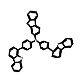 c1ccc2c(c1)Cc1cc(N(c3ccc(-c4cccc5c4oc4ccccc45)cc3)c3ccc(-c4cccc5c4oc4ccccc45)cc3)ccc1-2